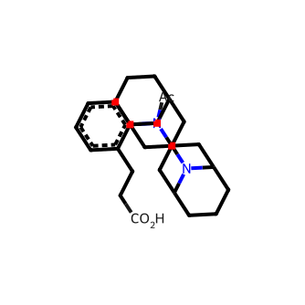 CC(=O)N(c1ccccc1CCC(=O)O)C1CC2CCCC(C1)N2C1CC2CCCC(C2)C1